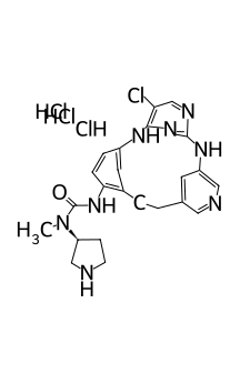 CN(C(=O)Nc1ccc2cc1CCc1cncc(c1)Nc1ncc(Cl)c(n1)N2)[C@H]1CCNC1.Cl.Cl.Cl